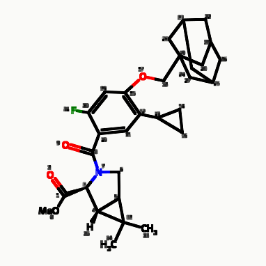 COC(=O)[C@@H]1[C@@H]2C(CN1C(=O)c1cc(C3CC3)c(OCC34CC5CC(CC(C5)C3)C4)cc1F)C2(C)C